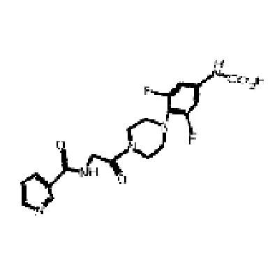 O=C(O)Nc1cc(F)c(N2CCN(C(=O)CNC(=O)c3cccnc3)CC2)c(F)c1